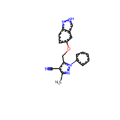 Cc1nn(-c2ccccc2)c(COc2ccc3n[nH]cc3c2)c1C#N